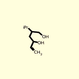 C=CC(O)CC(CO)C(C)C